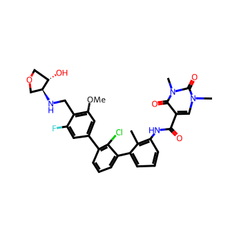 COc1cc(-c2cccc(-c3cccc(NC(=O)c4cn(C)c(=O)n(C)c4=O)c3C)c2Cl)cc(F)c1CN[C@H]1COC[C@@H]1O